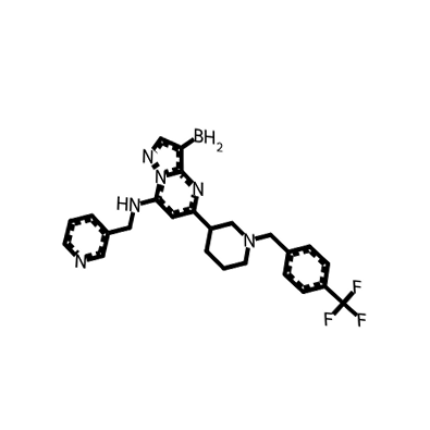 Bc1cnn2c(NCc3cccnc3)cc(C3CCCN(Cc4ccc(C(F)(F)F)cc4)C3)nc12